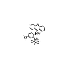 COc1ccc(Nc2c3ccccc3nc3ccccc23)c(NS(C)(=O)=O)c1